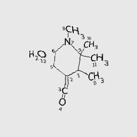 CC1C(=C=O)CCN(C)C1(C)C.O